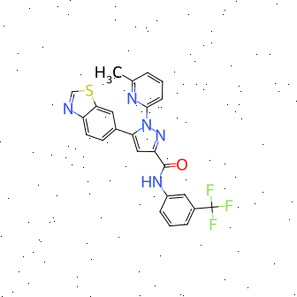 Cc1cccc(-n2nc(C(=O)Nc3cccc(C(F)(F)F)c3)cc2-c2ccc3ncsc3c2)n1